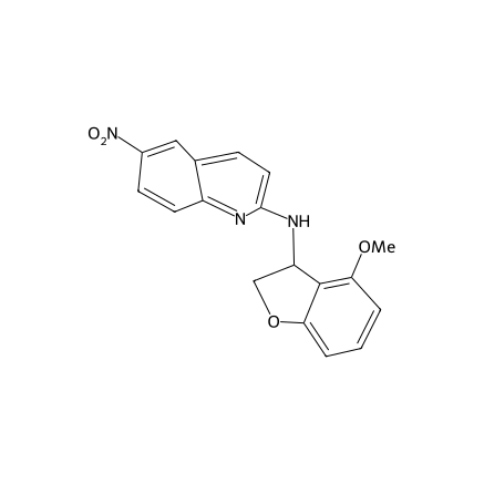 COc1cccc2c1C(Nc1ccc3cc([N+](=O)[O-])ccc3n1)CO2